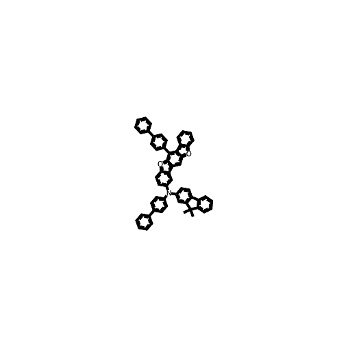 CC1(C)c2ccccc2-c2ccc(N(c3ccc(-c4ccccc4)cc3)c3ccc4oc5c(-c6ccc(-c7ccccc7)cc6)c6c(cc5c4c3)oc3ccccc36)cc21